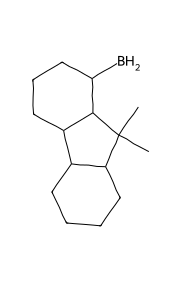 BC1CCCC2C3CCCCC3C(C)(C)C12